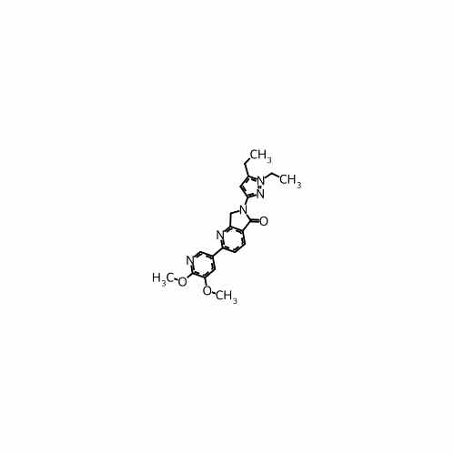 CCc1cc(N2Cc3nc(-c4cnc(OC)c(OC)c4)ccc3C2=O)nn1CC